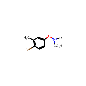 CCN(Oc1ccc(Br)c(C)c1)C(=O)O